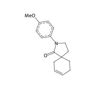 COc1ccc(N2CCC3(CC=CCC3)C2=O)cc1